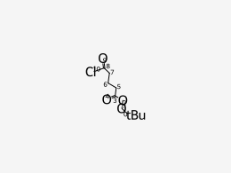 CC(C)(C)OOC(=O)CCCC(=O)Cl